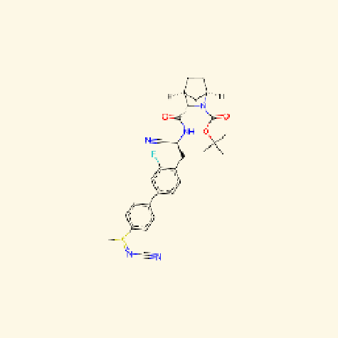 C/S(=N/C#N)c1ccc(-c2ccc(C[C@@H](C#N)NC(=O)[C@@H]3[C@H]4CC[C@H](C4)N3C(=O)OC(C)(C)C)c(F)c2)cc1